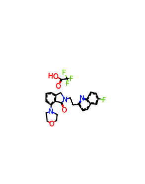 O=C(O)C(F)(F)F.O=C1c2c(cccc2N2CCOCC2)CN1CCc1ccc2cc(F)ccc2n1